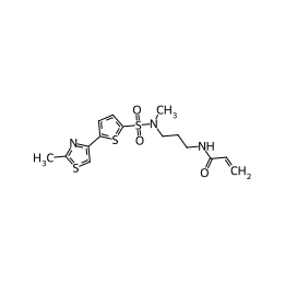 C=CC(=O)NCCCN(C)S(=O)(=O)c1ccc(-c2csc(C)n2)s1